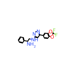 N[C@@H](CNc1cc(-c2ccc3c(c2)OC(F)(F)O3)ncn1)c1ccccc1